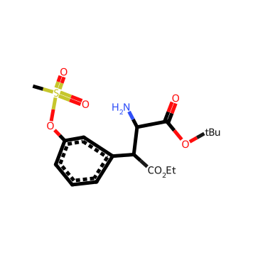 CCOC(=O)C(c1cccc(OS(C)(=O)=O)c1)C(N)C(=O)OC(C)(C)C